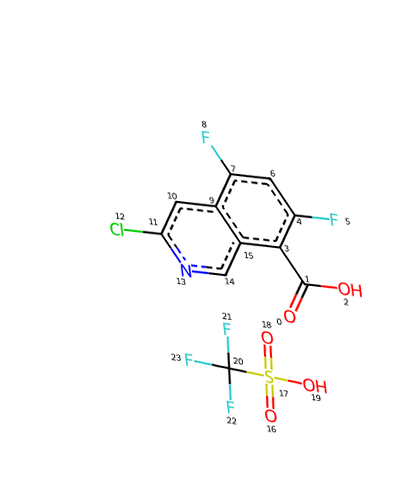 O=C(O)c1c(F)cc(F)c2cc(Cl)ncc12.O=S(=O)(O)C(F)(F)F